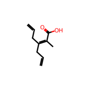 C=CCC(CC=C)=C(C)C(=O)O